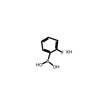 OB(O)c1ccccc1F.[KH]